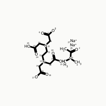 CC(=O)N(C)C.O=C([O-])CN(CCN(CC(=O)[O-])CC(=O)O)CC(=O)O.[Na+].[Na+]